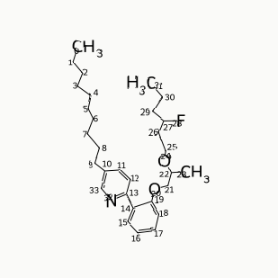 CCCCCCCCCCc1ccc(-c2ccccc2OCC(C)OCCC(F)CCC)nc1